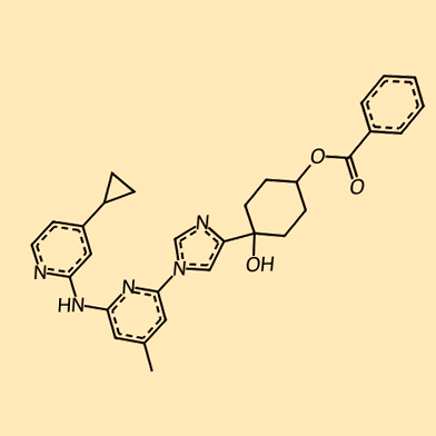 Cc1cc(Nc2cc(C3CC3)ccn2)nc(-n2cnc(C3(O)CCC(OC(=O)c4ccccc4)CC3)c2)c1